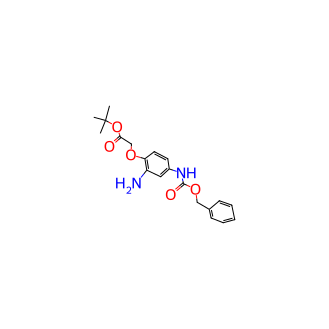 CC(C)(C)OC(=O)COc1ccc(NC(=O)OCc2ccccc2)cc1N